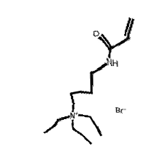 C=CC(=O)NCCC[N+](CC)(CC)CC.[Br-]